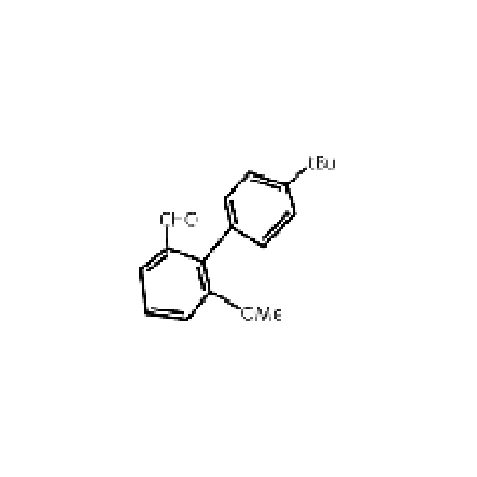 COc1cccc(C=O)c1-c1ccc(C(C)(C)C)cc1